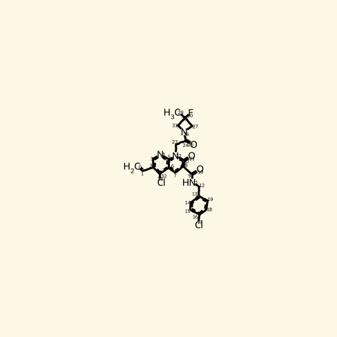 C=Cc1cnc2c(cc(C(=O)NCc3ccc(Cl)cc3)c(=O)n2CC(=O)N2CC(C)(F)C2)c1Cl